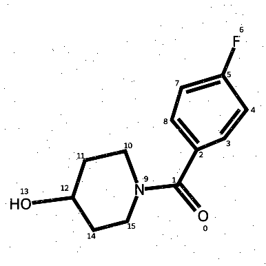 O=C(c1ccc(F)cc1)N1CCC(O)CC1